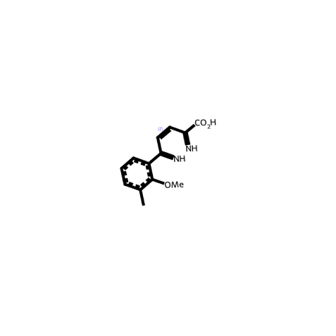 COc1c(C)cccc1C(=N)/C=C\C(=N)C(=O)O